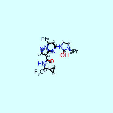 CCc1cc(N2CCN(C(C)C)C2O)nc2c(C(=O)NC(C3CC3)C(F)(F)F)cnn12